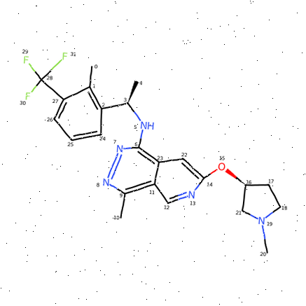 Cc1c([C@@H](C)Nc2nnc(C)c3cnc(O[C@H]4CCN(C)C4)cc23)cccc1C(F)(F)F